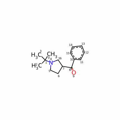 CC(C)(C)N1CCC(C(=O)c2ccccc2)C1